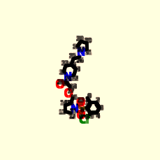 Cc1cccc(Cl)c1S(=O)(=O)N1CCCC1COCC(=O)N1CCC(CCN2CCCC2)CC1